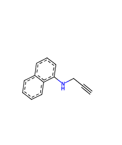 C#CCNc1cccc2ccccc12